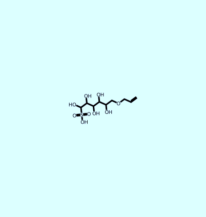 C=CCOCC(O)C(O)C(O)C(O)C(O)S(=O)(=O)O